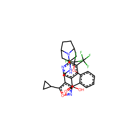 O=C(O)c1cnc(N2C3CCC2CC(NCc2c(-c4ccccc4OC(F)(F)F)noc2C2CC2)C3)c(C(F)(F)F)c1